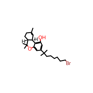 CC1=C[C@H]2c3c(O)cc(C(C)(C)CCCCCCBr)cc3OC(C)(C)[C@@H]2CC1